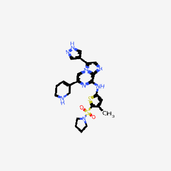 Cc1cc(Nc2nc(C3=CCCNC3)cn3c(-c4cn[nH]c4)cnc23)sc1S(=O)(=O)N1CCCC1